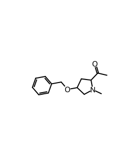 CC(=O)C1CC(OCc2ccccc2)CN1C